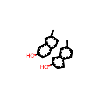 Cc1ccc2ccc(O)cc2c1.Cc1ccc2ccc(O)cc2c1